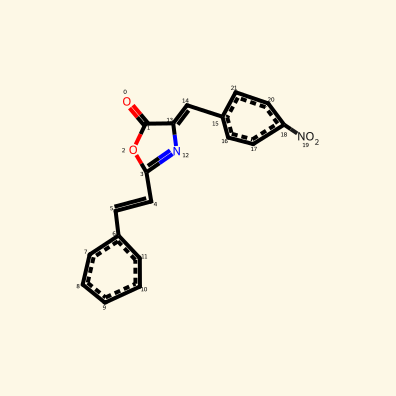 O=C1OC(/C=C/c2ccccc2)=NC1=Cc1ccc([N+](=O)[O-])cc1